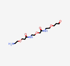 NCCOCCC(=O)NCCOCC(=O)NCCOCCC=O